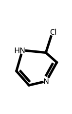 ClC1C=NC=CN1